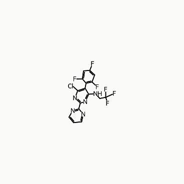 Fc1cc(F)c(-c2c(Cl)nc(-c3ncccn3)nc2NCC(F)(F)F)c(F)c1